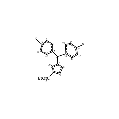 CCOC(=O)c1ccc(C(c2ccc(C)cc2)c2ccc(C)cc2)s1